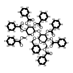 O=C(OC[C@H]1O[C@H](O[C@@H]2[C@@H](OCc3ccccc3)O[C@H](COC(=O)c3ccccc3)[C@@H](OC(=O)c3ccccc3)[C@@H]2OC(=O)c2ccccc2)[C@@H](OC(=O)c2ccccc2)[C@@H](OC(=O)c2ccccc2)[C@@H]1OC(=O)c1ccccc1)c1ccccc1